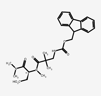 CN(C)C(=O)[C@H](CC(=O)O)N(C)C(=O)C(C)(C)CNC(=O)OCC1c2ccccc2-c2ccccc21